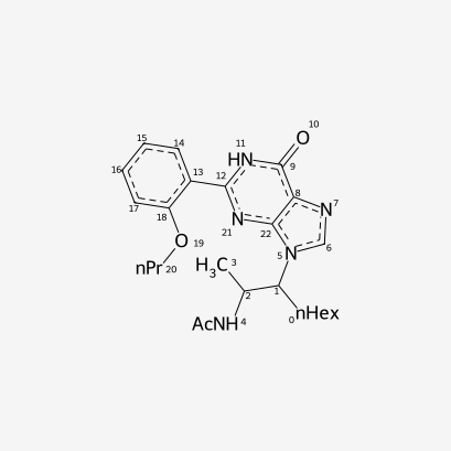 CCCCCCC(C(C)NC(C)=O)n1cnc2c(=O)[nH]c(-c3ccccc3OCCC)nc21